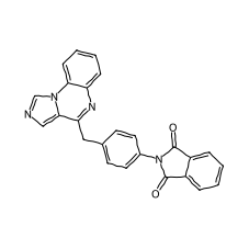 O=C1c2ccccc2C(=O)N1c1ccc(Cc2nc3ccccc3n3cncc23)cc1